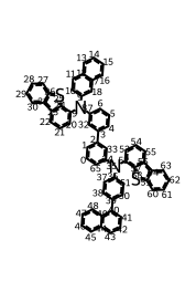 c1cc(-c2cccc(N(c3ccc4ccccc4c3)c3cccc4c3sc3ccccc34)c2)cc(N(c2ccc(-c3cccc4ccccc34)cc2)c2cccc3c2sc2ccccc23)c1